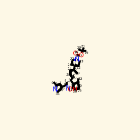 Cc1cc(/C(C[C@H](c2ccc(C3=CCN(C(=O)OC(C)(C)C)CC3)cc2)c2ccccc2C)=N/O)ccn1